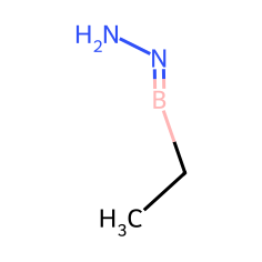 CCB=NN